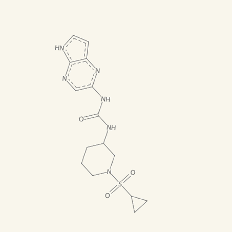 O=C(Nc1cnc2[nH]ccc2n1)NC1CCCN(S(=O)(=O)C2CC2)C1